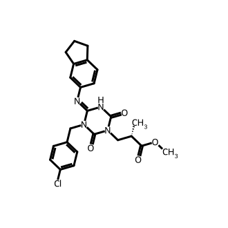 COC(=O)[C@@H](C)Cn1c(=O)[nH]/c(=N\c2ccc3c(c2)CCC3)n(Cc2ccc(Cl)cc2)c1=O